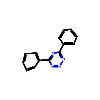 c1ccc(-c2nnnc(-c3ccccc3)n2)cc1